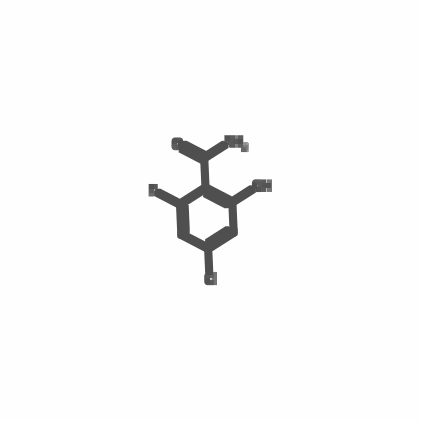 NC(=O)c1c(O)cc(Cl)cc1F